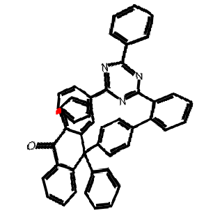 O=C1c2ccccc2C(c2ccccc2)(c2ccc(-c3ccccc3-c3nc(-c4ccccc4)nc(-c4ccccc4)n3)cc2)c2ccccc21